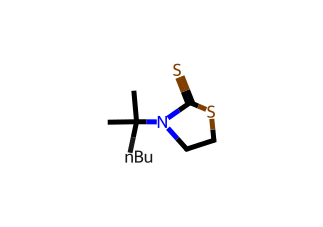 CCCCC(C)(C)N1CCSC1=S